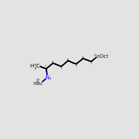 CCCCCCCCCCCCCCC(C)[N]CCCC